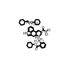 CC(=O)OC1CCCCC1.CCN(CC)C(=O)[C@@H]1C=C2c3cccc4[nH]cc(c34)C[C@H]2N(C)C1.CCOC(=O)CC1CCCCC1.Nc1ccccc1C(=O)OC1CCCCC1